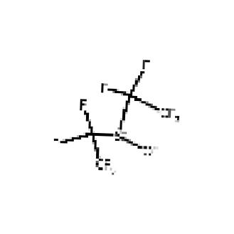 [O-][S+](C(F)(F)C(F)(F)F)C(F)(F)C(F)(F)F